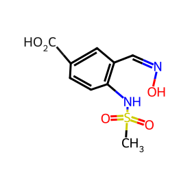 CS(=O)(=O)Nc1ccc(C(=O)O)cc1/C=N\O